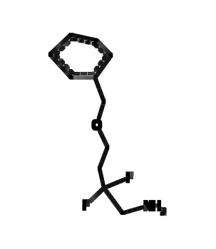 NCC(F)(F)CCOCc1ccccc1